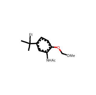 CCC(C)(C)c1ccc(OCOC)c(NC(C)=O)c1